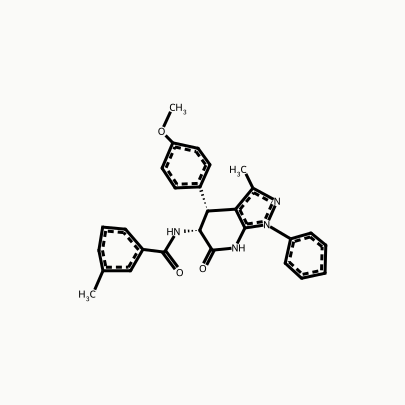 COc1ccc([C@@H]2c3c(C)nn(-c4ccccc4)c3NC(=O)[C@@H]2NC(=O)c2cccc(C)c2)cc1